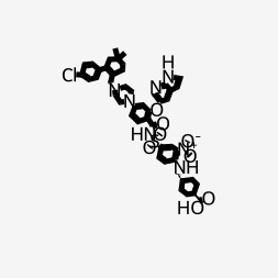 CC1(C)CCC(CN2CCN(c3ccc(C(=O)NS(=O)(=O)c4ccc(NC[C@H]5CC[C@H](C(=O)O)CC5)c([N+](=O)[O-])c4)c(Oc4cnc5[nH]ccc5c4)c3)CC2)=C(c2ccc(Cl)cc2)C1